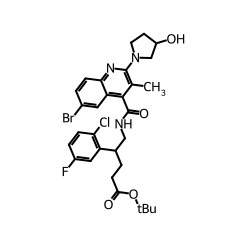 Cc1c(N2CCC(O)C2)nc2ccc(Br)cc2c1C(=O)NCC(CCC(=O)OC(C)(C)C)c1cc(F)ccc1Cl